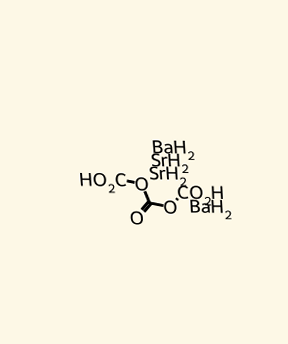 O=C(O)OC(=O)OC(=O)O.[BaH2].[BaH2].[SrH2].[SrH2]